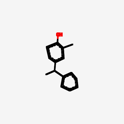 Cc1cc(C(C)c2ccccc2)ccc1O